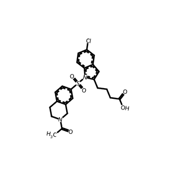 CC(=O)N1CCc2ccc(S(=O)(=O)n3c(CCCC(=O)O)cc4cc(Cl)ccc43)cc2C1